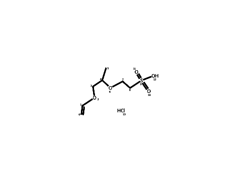 C=COCC(C)OCCS(=O)(=O)O.Cl